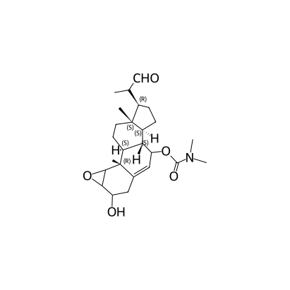 CC(C=O)[C@H]1CC[C@H]2[C@@H]3C(OC(=O)N(C)C)C=C4CC(O)C5OC5[C@]4(C)[C@H]3CC[C@]12C